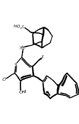 N#Cc1c(Cl)nc(NC2C3CCC(CC3)C2C(=O)O)c(F)c1-c1ccc2ccccc2c1